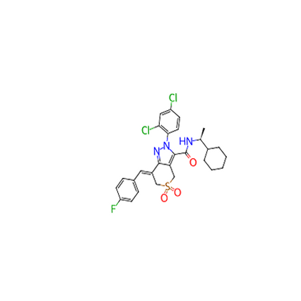 C[C@H](NC(=O)c1c2c(nn1-c1ccc(Cl)cc1Cl)/C(=C/c1ccc(F)cc1)CS(=O)(=O)C2)C1CCCCC1